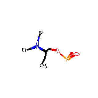 CCN(CC)C(C)OP=O